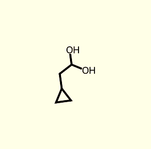 OC(O)CC1CC1